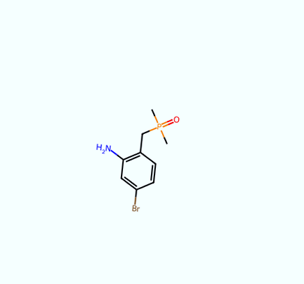 CP(C)(=O)Cc1ccc(Br)cc1N